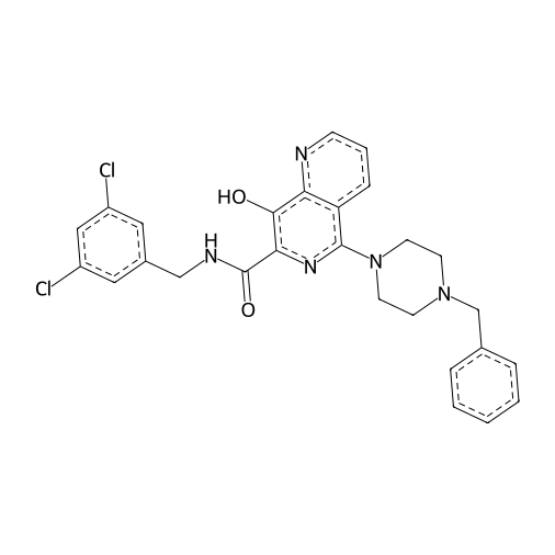 O=C(NCc1cc(Cl)cc(Cl)c1)c1nc(N2CCN(Cc3ccccc3)CC2)c2cccnc2c1O